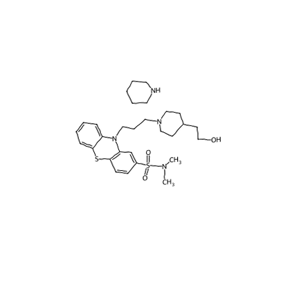 C1CCNCC1.CN(C)S(=O)(=O)c1ccc2c(c1)N(CCCN1CCC(CCO)CC1)c1ccccc1S2